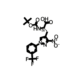 CC(C)(C)OC(=O)N[C@@H](Cc1cn(-c2cccc(C(F)(F)F)c2)nc1[N+](=O)[O-])C(=O)O